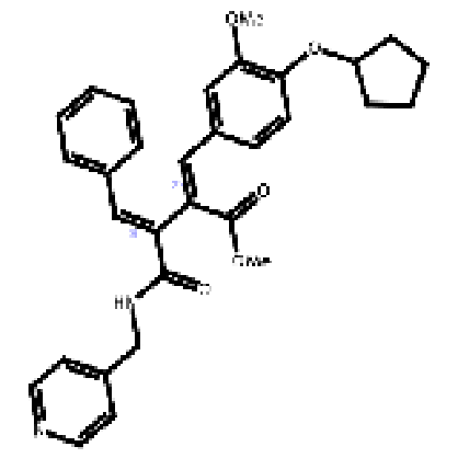 COC(=O)C(=C\c1ccc(OC2CCCC2)c(OC)c1)/C(=C\c1ccccc1)C(=O)NCc1ccncc1